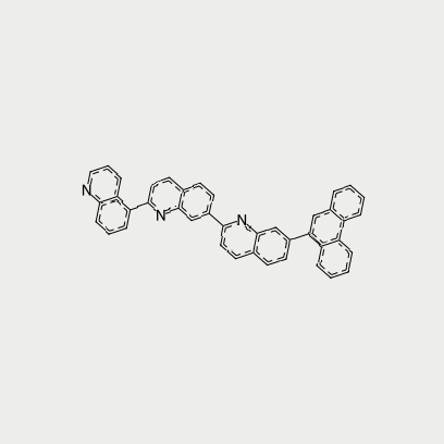 c1ccc2c(c1)cc(-c1ccc3ccc(-c4ccc5ccc(-c6cccc7ncccc67)nc5c4)nc3c1)c1ccccc12